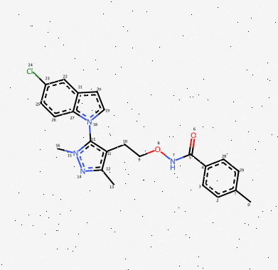 Cc1ccc(C(=O)NOCCc2c(C)nn(C)c2-n2ccc3cc(Cl)ccc32)cc1